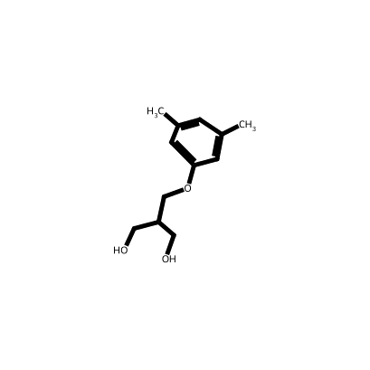 Cc1[c]c(C)cc(OCC(CO)CO)c1